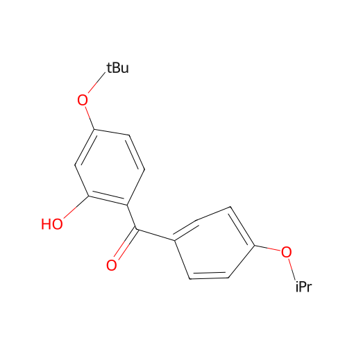 CC(C)Oc1ccc(C(=O)c2ccc(OC(C)(C)C)cc2O)cc1